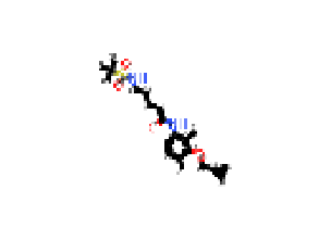 Cc1ccc(NC(=O)CCCCNS(=O)(=O)C(C)(C)C)c(C)c1OCC1CC1